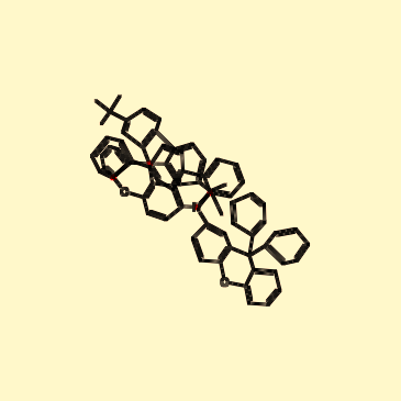 CC(C)(C)c1ccc2c(c1)C1(c3ccccc3Oc3ccc(N(c4ccc5c(c4)C(c4ccccc4)(c4ccccc4)c4ccccc4O5)c4ccccc4-c4ccc(-c5ccccc5)cc4)cc31)c1cc(C(C)(C)C)ccc1-2